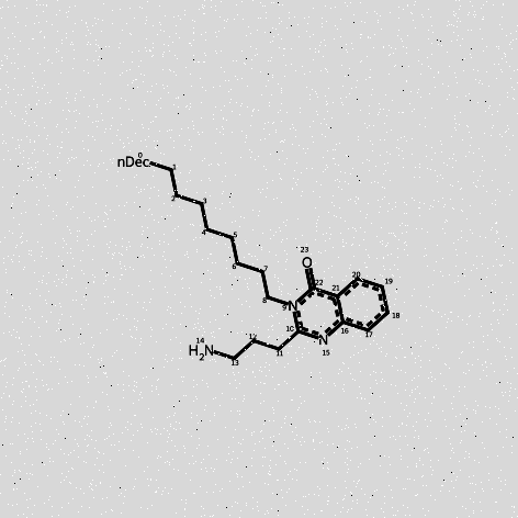 CCCCCCCCCCCCCCCCCCn1c(CCCN)nc2ccccc2c1=O